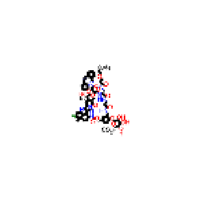 CC[C@@]1(O)C(=O)OCc2c1cc1n(c2=O)Cc2c-1nc1cc(F)c(C)c3c1c2[C@@H](NC(=O)OCc1ccc(O[C@@H]2O[C@H](C(=O)O)[C@@H](O)[C@H](O)[C@H]2O)c(CNC(=O)CCNC(=O)[C@H](CNC(=O)CCOCCOC)NC(=O)CCC(=O)N2Cc4ccccc4/C=C\c4ccccc42)c1)CC3